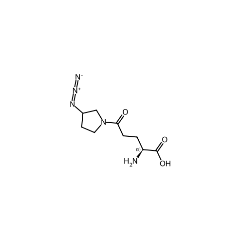 [N-]=[N+]=NC1CCN(C(=O)CC[C@H](N)C(=O)O)C1